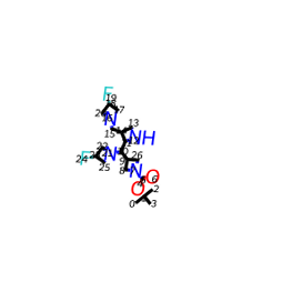 CC(C)(C)OC(=O)N1CC(C(C2NCC2CN2CC(F)C2)N2CC(F)C2)C1